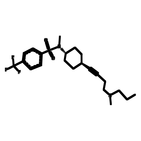 CCCN(C)CCC#C[C@H]1CC[C@H](N(C)S(=O)(=O)c2ccc(C(F)(F)F)cc2)CC1